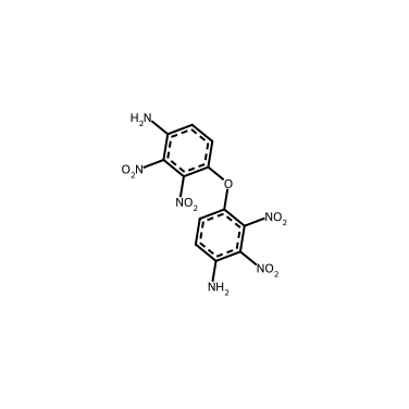 Nc1ccc(Oc2ccc(N)c([N+](=O)[O-])c2[N+](=O)[O-])c([N+](=O)[O-])c1[N+](=O)[O-]